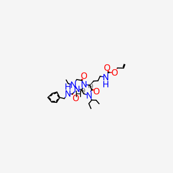 C=CCOC(=O)NCCC[C@H]1C(=O)N(C(CC)CC)C[C@H]2N1C(=O)CN(CC)N2C(=O)NCc1ccccc1